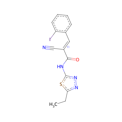 CCc1nnc(NC(=O)/C(C#N)=C/c2ccccc2I)s1